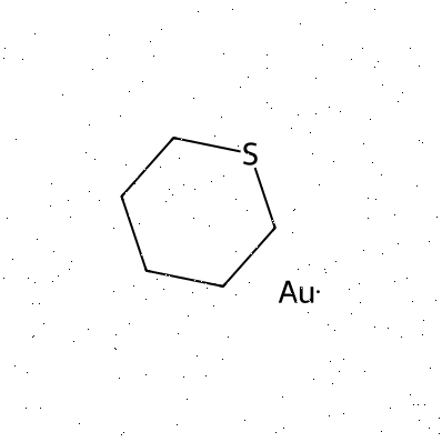 C1CCSCC1.[Au]